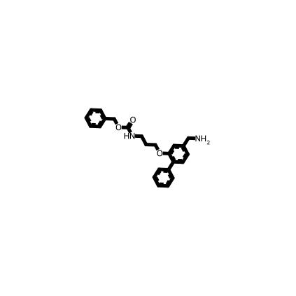 NCc1ccc(-c2ccccc2)c(OCCCNC(=O)OCc2ccccc2)c1